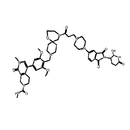 CNC(=O)N1CCc2c(-c3cc(OC)c(CN4CCC5(CC4)CN(C(=O)CCN4CCN(c6ccc7c(c6)C(=O)N(C6CCC(=O)NC6O)C7=O)CC4)CCO5)c(OC)c3)cn(C)c(=O)c2C1